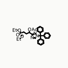 CCOP(=O)(CCC(OC(C)=O)c1ncn(C(c2ccccc2)(c2ccccc2)c2ccccc2)n1)OCC